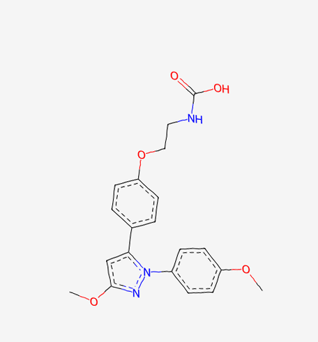 COc1ccc(-n2nc(OC)cc2-c2ccc(OCCNC(=O)O)cc2)cc1